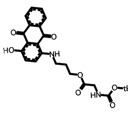 CC(C)(C)OC(=O)NCC(=O)OCCCNc1ccc(O)c2c1C(=O)c1ccccc1C2=O